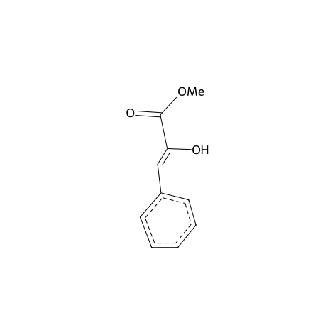 COC(=O)C(O)=Cc1ccccc1